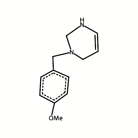 COc1ccc(CN2CC=CNC2)cc1